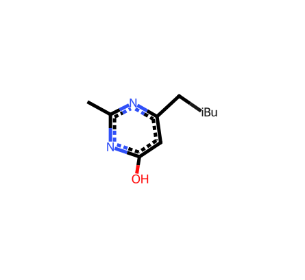 CCC(C)Cc1cc(O)nc(C)n1